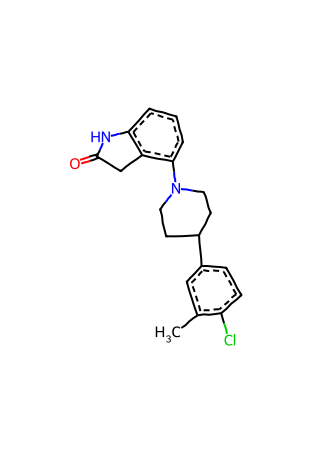 Cc1cc(C2CCN(c3cccc4c3CC(=O)N4)CC2)ccc1Cl